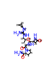 NC(=O)[C@@H]1CCCN1C(=O)[C@H](CCCN/C(N)=N/C1CC1)NC(=O)[C@@H]1CC(=O)N1